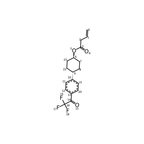 C=CCC(=O)O[C@H]1CC[C@H](c2ccc(C(=O)C(F)(F)F)cc2)CC1